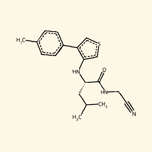 Cc1ccc(-c2cscc2N[C@@H](CC(C)C)C(=O)NCC#N)cc1